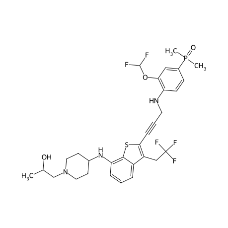 CC(O)CN1CCC(Nc2cccc3c(CC(F)(F)F)c(C#CCNc4ccc(P(C)(C)=O)cc4OC(F)F)sc23)CC1